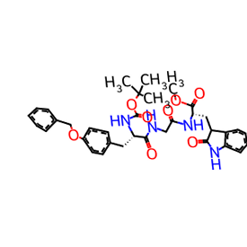 COC(=O)[C@H](CC1C(=O)Nc2ccccc21)NC(=O)CNC(=O)[C@H](Cc1ccc(OCc2ccccc2)cc1)NC(=O)OC(C)(C)C